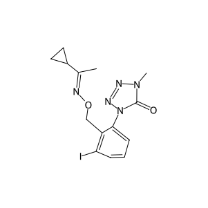 CC(=NOCc1c(I)cccc1-n1nnn(C)c1=O)C1CC1